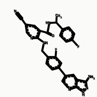 CC(NC(=O)c1cc(C#N)cnc1NCc1ccc(-c2cnc3[nH]nc(N)c3c2)cc1F)c1ccc(F)cc1